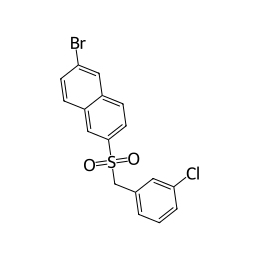 O=S(=O)(Cc1cccc(Cl)c1)c1ccc2cc(Br)ccc2c1